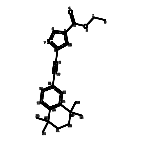 CCOC(=O)c1csc(C#Cc2ccc3c(c2)C(C)(C)CCC3(C)C)c1